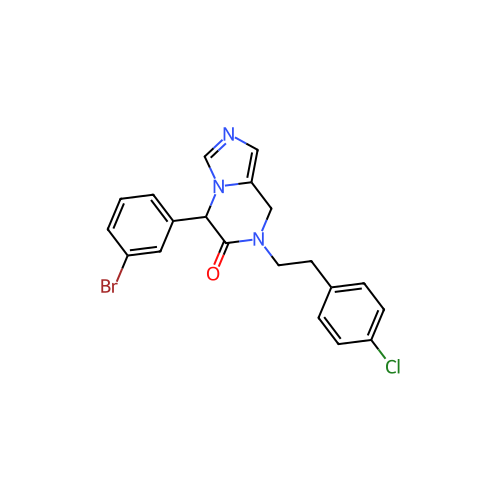 O=C1C(c2cccc(Br)c2)n2cncc2CN1CCc1ccc(Cl)cc1